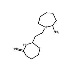 N=C1CCCCC(CCN2CCCCCC2N)N1